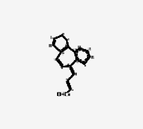 O=CC=CC=C1C=CC2=C(CCC=C2)c2ccccc21